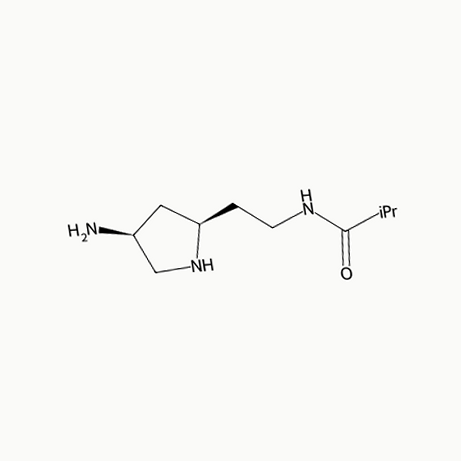 CC(C)C(=O)NCC[C@@H]1C[C@H](N)CN1